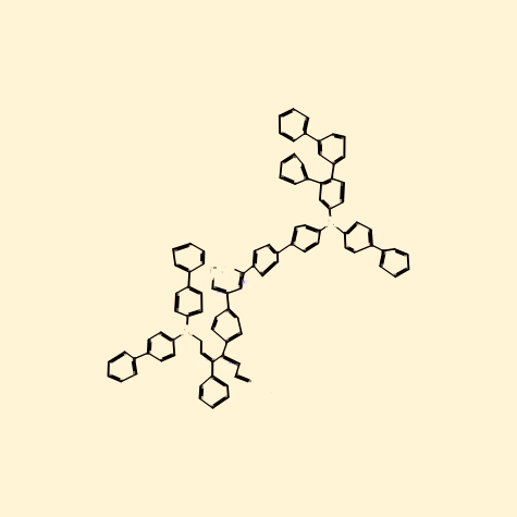 C=C/C=C(\C(=C/CN(c1ccc(-c2ccccc2)cc1)c1ccc(-c2ccccc2)cc1)c1ccccc1)c1ccc(C(/C=C(\C)c2ccc(-c3ccc(N(c4ccc(-c5ccccc5)cc4)c4ccc(-c5cccc(-c6ccccc6)c5)c(-c5ccccc5)c4)cc3)cc2)=C/C)cc1